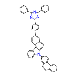 c1ccc(-c2nc(-c3ccccc3)nc(-c3ccc(-c4ccc5c(ccc6c5c5ccccc5n6-c5ccc6c(ccc7ccccc76)c5)c4)cc3)n2)cc1